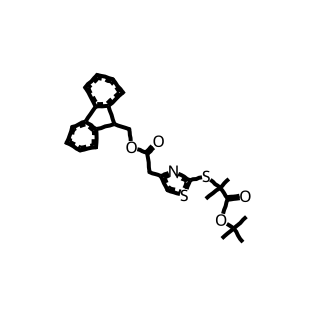 CC(C)(C)OC(=O)C(C)(C)Sc1nc(CC(=O)OCC2c3ccccc3-c3ccccc32)cs1